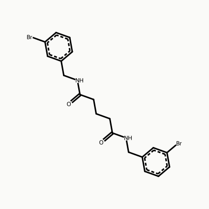 O=C(CCCC(=O)NCc1cccc(Br)c1)NCc1cccc(Br)c1